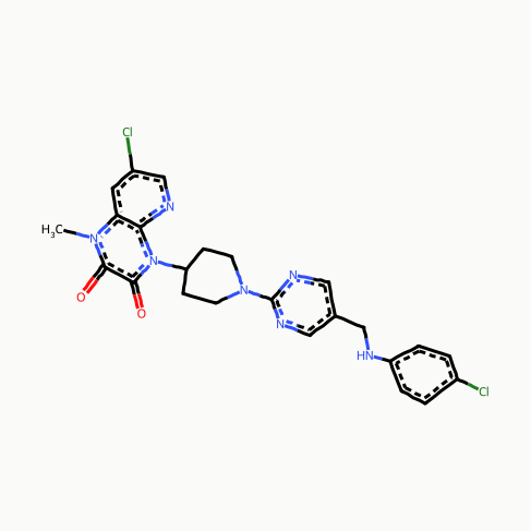 Cn1c(=O)c(=O)n(C2CCN(c3ncc(CNc4ccc(Cl)cc4)cn3)CC2)c2ncc(Cl)cc21